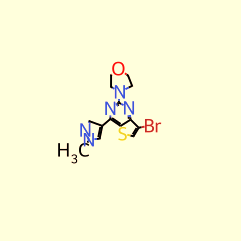 Cn1cc(-c2nc(N3CCOCC3)nc3c(Br)csc23)cn1